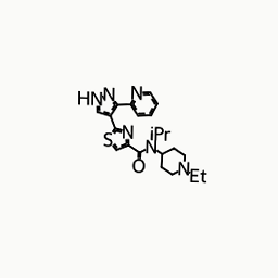 CCN1CCC(N(C(=O)c2csc(-c3c[nH]nc3-c3ccccn3)n2)C(C)C)CC1